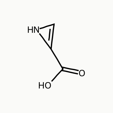 O=C(O)C1=CN1